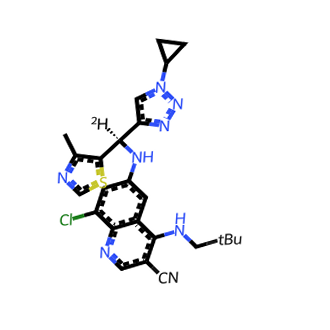 [2H][C@@](Nc1cc(Cl)c2ncc(C#N)c(NCC(C)(C)C)c2c1)(c1cn(C2CC2)nn1)c1scnc1C